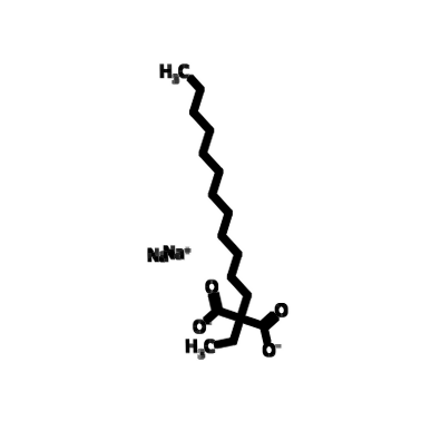 CCCCCCCCCCCCC(CC)(C(=O)[O-])C(=O)[O-].[Na+].[Na+]